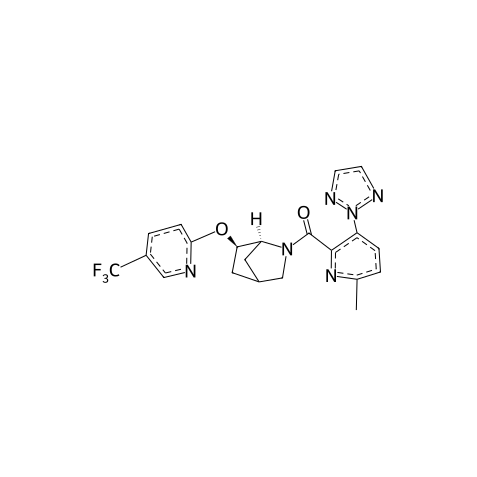 Cc1ccc(-n2nccn2)c(C(=O)N2CC3C[C@@H](Oc4ccc(C(F)(F)F)cn4)[C@@H]2C3)n1